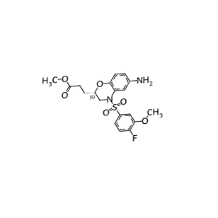 COC(=O)CC[C@H]1CN(S(=O)(=O)c2ccc(F)c(OC)c2)c2cc(N)ccc2O1